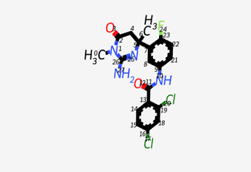 CN1C(=O)CC(C)(c2cc(NC(=O)c3ccc(Cl)cc3Cl)ccc2F)N=C1N